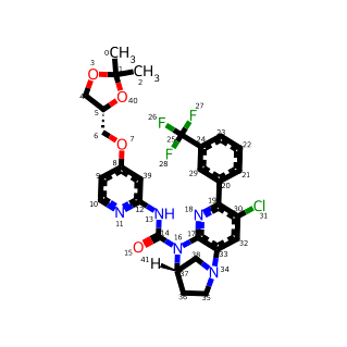 CC1(C)OC[C@@H](COc2ccnc(NC(=O)N3c4nc(-c5cccc(C(F)(F)F)c5)c(Cl)cc4N4CC[C@H]3C4)c2)O1